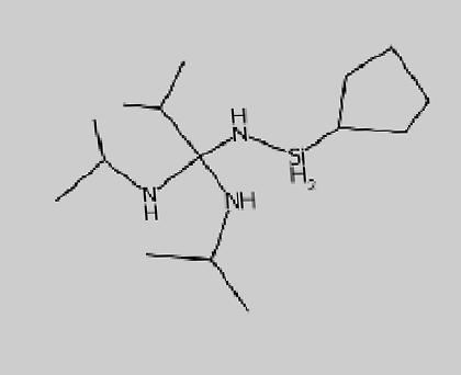 CC(C)NC(N[SiH2]C1CCCC1)(NC(C)C)C(C)C